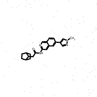 Cn1cc(-c2ccc3cnc(NC(=O)CC4C5CCC4CC5)cc3c2)cn1